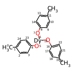 Cc1ccc([O][Dy]([O]c2ccc(C)cc2)[O]c2ccc(C)cc2)cc1